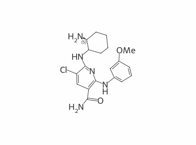 COc1cccc(Nc2nc(NC3CCCC[C@@H]3N)c(Cl)cc2C(N)=O)c1